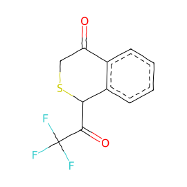 O=C1CSC(C(=O)C(F)(F)F)c2ccccc21